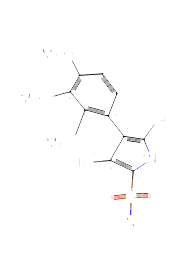 COc1ccc(-c2c(Br)[nH]c(S(N)(=O)=O)c2Br)c(OC)c1OC